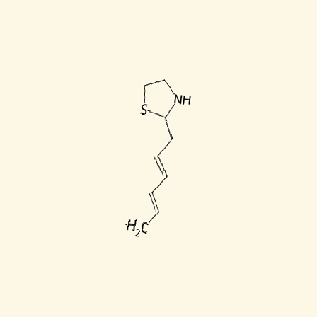 [CH2]C=CC=CCC1NCCS1